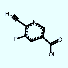 C#Cc1ncc(C(=O)O)cc1F